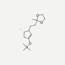 C[C@H]1CC(O[Si](C)(C)C)=CC1CCC1(C)OCCO1